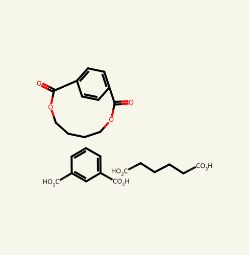 O=C(O)CCCCC(=O)O.O=C(O)c1cccc(C(=O)O)c1.O=C1OCCCCOC(=O)c2ccc1cc2